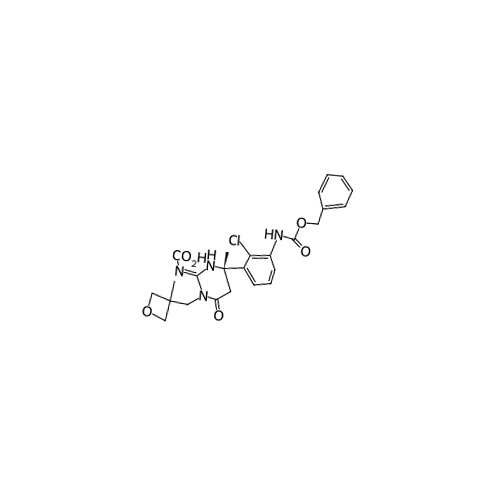 CC1(CN2C(=O)C[C@@](C)(c3cccc(NC(=O)OCc4ccccc4)c3Cl)N/C2=N\C(=O)O)COC1